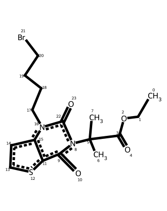 CCOC(=O)C(C)(C)n1c(=O)c2sccc2n(CCCCBr)c1=O